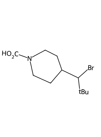 CC(C)(C)C(Br)C1CCN(C(=O)O)CC1